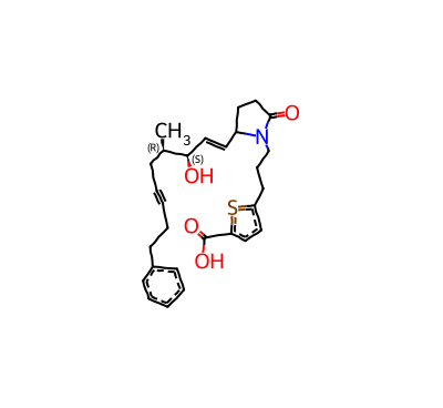 C[C@H](CC#CCCc1ccccc1)[C@H](O)C=CC1CCC(=O)N1CCCc1ccc(C(=O)O)s1